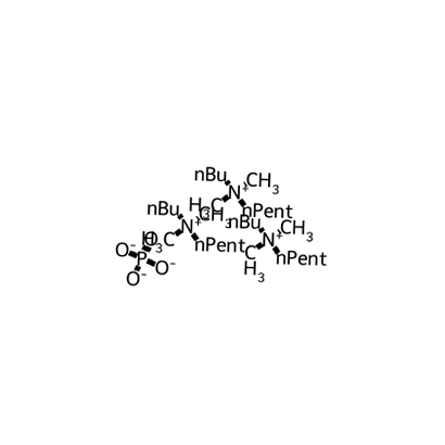 CCCCC[N+](C)(C)CCCC.CCCCC[N+](C)(C)CCCC.CCCCC[N+](C)(C)CCCC.O=P([O-])([O-])[O-]